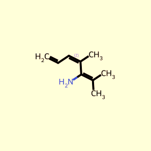 C=C/C=C(/C)C(N)=C(C)C